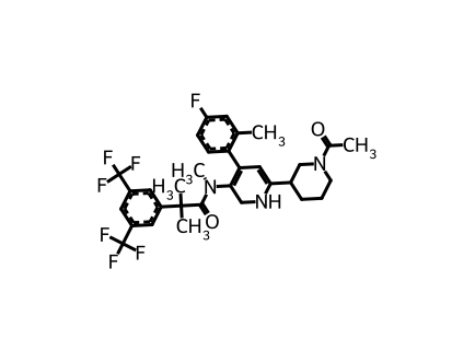 CC(=O)N1CCCC(C2=CC(c3ccc(F)cc3C)=C(N(C)C(=O)C(C)(C)c3cc(C(F)(F)F)cc(C(F)(F)F)c3)CN2)C1